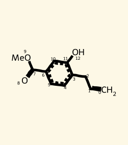 C=CCc1ccc(C(=O)OC)cc1O